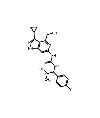 C[C@@H](O)[C@@H](NC(=O)Nc1cc2[nH]nc(C3CC3)c2c(CO)n1)c1ccc(F)cc1